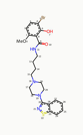 COc1ccc(Br)c(O)c1C(=O)NCCCCN1CCN(c2nsc3ccccc23)CC1